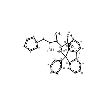 C[C@H](C(O)Cc1ccccc1)[C@H](NC1(c2ccccc2)c2ccccc2-c2ccccc21)C(=O)O